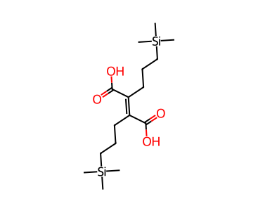 C[Si](C)(C)CCC/C(C(=O)O)=C(/CCC[Si](C)(C)C)C(=O)O